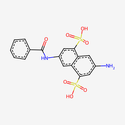 Nc1cc(S(=O)(=O)O)c2cc(NC(=O)c3ccccc3)cc(S(=O)(=O)O)c2c1